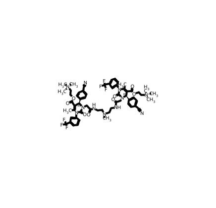 CC1=C(C(=O)OCC[N+](C)(C)C)[C@@H](c2ccc(C#N)cc2)N(CC(=O)NCCN(C)CCNC(=O)CN2C(=O)N(c3cccc(C(F)(F)F)c3)C(C)=C(C(=O)OCC[N+](C)(C)C)[C@H]2c2ccc(C#N)cc2)C(=O)N1c1cccc(C(F)(F)F)c1